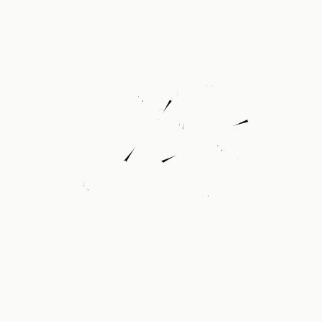 CN1C(=O)[C@]23CSC[C@H]1C(=O)N2[C@H]1Nc2ccccc2[C@@]1(c1c[nH]c2ccccc12)C3